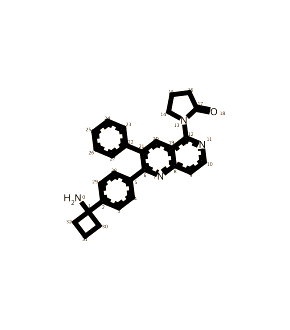 NC1(c2ccc(-c3nc4ccnc(N5CCCC5=O)c4cc3-c3ccccc3)cc2)CCC1